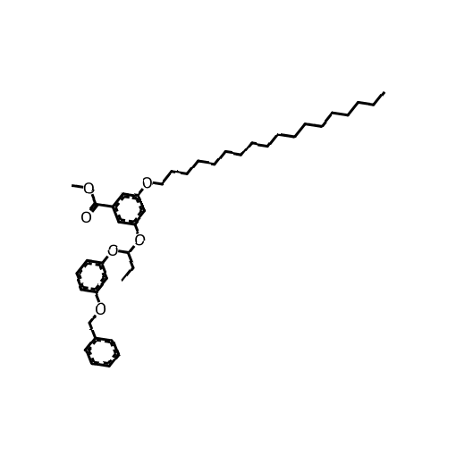 CCCCCCCCCCCCCCCCCCOc1cc(OC(CC)Oc2cccc(OCc3ccccc3)c2)cc(C(=O)OC)c1